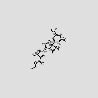 CCOC(=O)c1cn(C2=NOC(c3cc(Cl)cc(Cl)c3)(C(F)(F)F)C2)nc1C